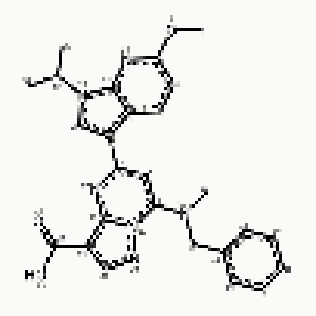 COc1ccc2c(-c3cc(N(C)Cc4ccccc4)n4ncc(C(=O)O)c4n3)cn(C(C)C)c2n1